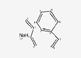 C=CC=C.C=Cc1ccccc1.[NaH]